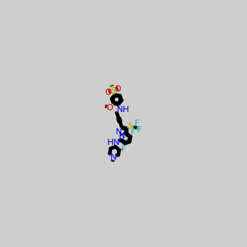 COc1cc(S(C)(=O)=O)ccc1NCC#Cc1nn2c(N[C@@H]3CCN(C)C[C@@H]3F)cccc2c1SC(F)(F)F